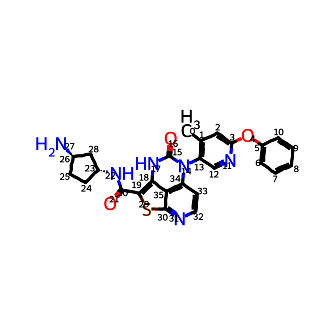 Cc1cc(Oc2ccccc2)ncc1N1C(=O)Nc2c(C(=O)N[C@@H]3CC[C@@H](N)C3)sc3nccc1c23